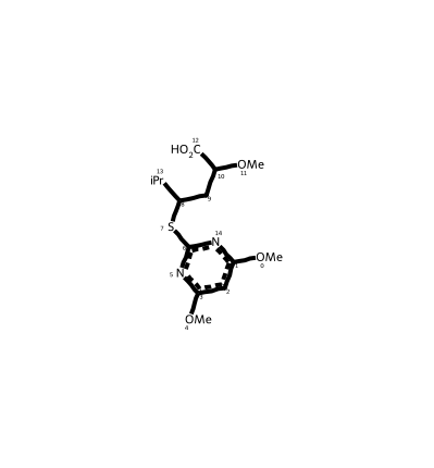 COc1cc(OC)nc(SC(CC(OC)C(=O)O)C(C)C)n1